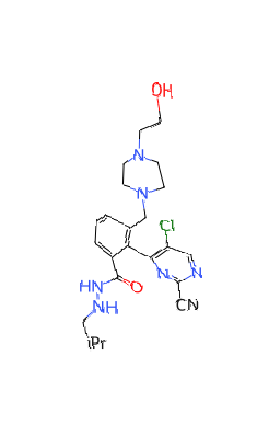 CC(C)CNNC(=O)c1cccc(CN2CCN(CCO)CC2)c1-c1nc(C#N)ncc1Cl